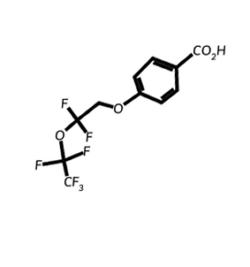 O=C(O)c1ccc(OCC(F)(F)OC(F)(F)C(F)(F)F)cc1